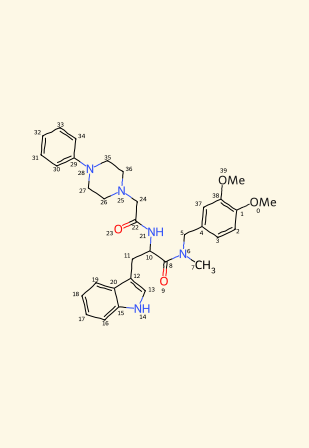 COc1ccc(CN(C)C(=O)C(Cc2c[nH]c3ccccc23)NC(=O)CN2CCN(c3ccccc3)CC2)cc1OC